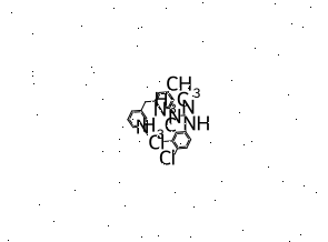 C/N=C(/Nc1ccc(Cl)c(Cl)c1)N(C)c1cc(C)cc(Cc2cccnc2)n1